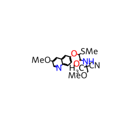 COCC(C)(C#N)NC(=O)C(Oc1ccc2ncc(OC)cc2c1)SC